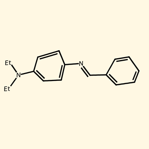 CCN(CC)c1ccc(N=Cc2ccccc2)cc1